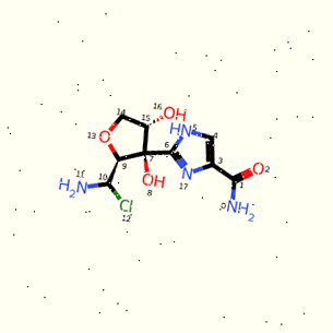 NC(=O)c1c[nH]c([C@]2(O)[C@@H](C(N)Cl)OC[C@@H]2O)n1